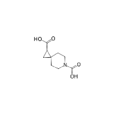 O=C(O)C1CC12CCN(C(=O)O)CC2